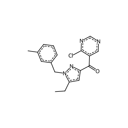 CCc1cc(C(=O)c2cncnc2Cl)nn1Cc1cccc(C)c1